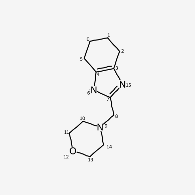 C1CCC2=C(C1)[N]C(CN1CCOCC1)=N2